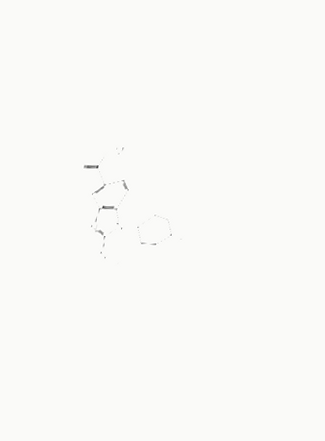 COC(=O)c1ccc2c(c1)nc(N)n2[C@H]1CC[C@@H](O)CC1